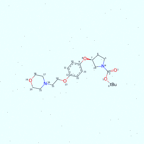 CC(C)(C)OC(=O)N1CC[C@H](Oc2ccc(OCCN3CCOCC3)cc2)C1